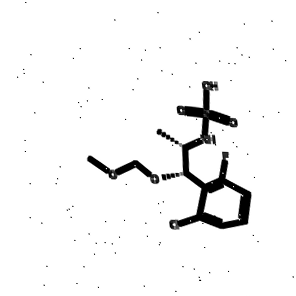 COCO[C@@H](c1c(F)cccc1Cl)[C@H](C)NS(=O)(=O)O